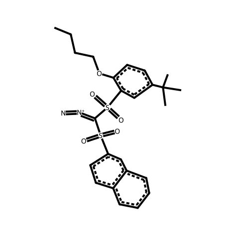 CCCCOc1ccc(C(C)(C)C)cc1S(=O)(=O)C(=[N+]=[N-])S(=O)(=O)c1ccc2ccccc2c1